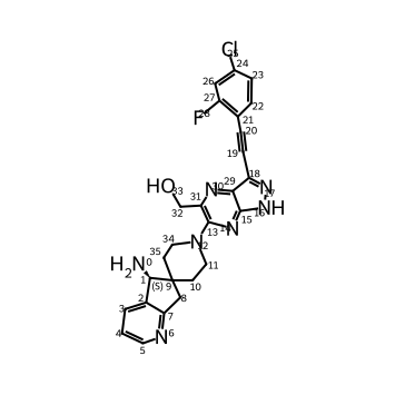 N[C@@H]1c2cccnc2CC12CCN(c1nc3[nH]nc(C#Cc4ccc(Cl)cc4F)c3nc1CO)CC2